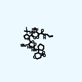 C=CCNC(=O)C(=O)[C@H](CCCC)NC(=O)[C@@H]1[C@@H](C(C)(C)I)CCN1C(=O)[C@@H](NC(=O)NC1(C2COCCS2(=O)=O)CCCCC1)C(C)(C)C